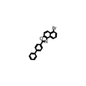 Brc1cccc2c1ccc1oc(-c3ccc(-c4ccccc4)cc3)nc12